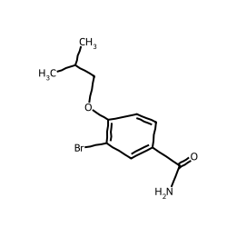 CC(C)COc1ccc(C(N)=O)cc1Br